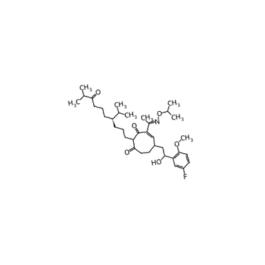 COc1ccc(F)cc1C(O)CC1/C=C(/C(C)=N/OC(C)C)C(=O)C(CCC[C@@H](CCCC(=O)C(C)C)C(C)C)C(=O)CC1